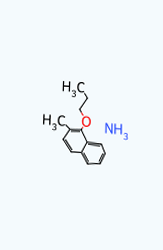 CCCOc1c(C)ccc2ccccc12.N